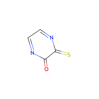 O=C1N=CC=NC1=S